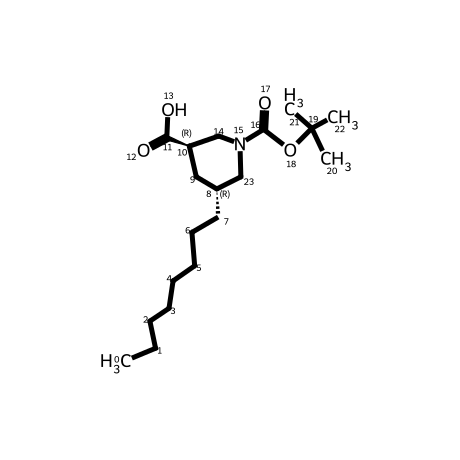 CCCCCCCC[C@@H]1C[C@@H](C(=O)O)CN(C(=O)OC(C)(C)C)C1